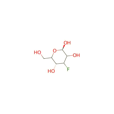 OCC1O[C@@H](O)C(O)C(F)[C@@H]1O